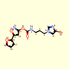 O=C(NCCCn1cnc(Br)c1)Oc1cc(-c2ccco2)on1